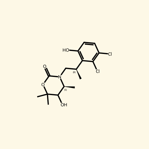 C[C@@H](CN1C(=O)OC(C)(C)C(O)[C@@H]1C)c1c(O)ccc(Cl)c1Cl